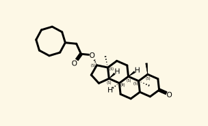 C[C@H]1CC(=O)CC2CC[C@H]3[C@@H]4CC[C@H](OC(=O)CC5CCCCCCC5)[C@@]4(C)CC[C@@H]3[C@]21C